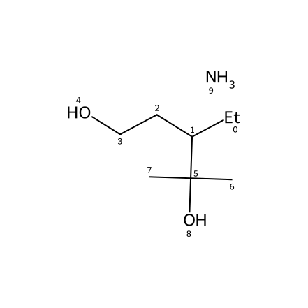 CCC(CCO)C(C)(C)O.N